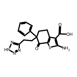 Nc1sc2c(c1C(=O)O)CCC(CCc1nn[nH]n1)(c1ccccc1)C2=O